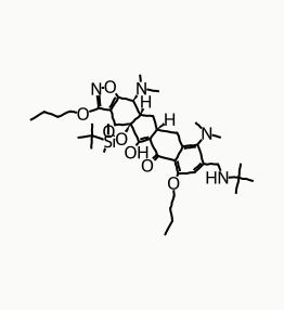 CCCCOc1cc(CNC(C)(C)C)c(N(C)C)c2c1C(=O)C1=C(O)[C@]3(O[Si](C)(C)C(C)(C)C)C(=O)c4c(OCCCC)noc4[C@@H](N(C)C)[C@@H]3C[C@@H]1C2